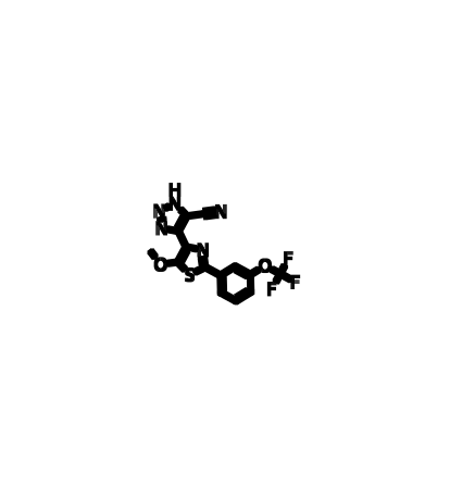 COc1sc(-c2cccc(OC(F)(F)F)c2)nc1-c1nn[nH]c1C#N